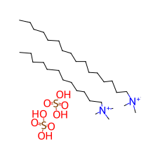 CCCCCCCCCCCCCCCC[N+](C)(C)C.CCCCCCCCCCCC[N+](C)(C)C.O=S(=O)(O)O.O=S(=O)(O)O